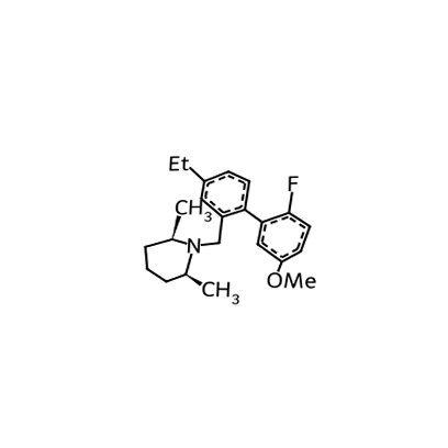 CCc1ccc(-c2cc(OC)ccc2F)c(CN2[C@H](C)CCC[C@@H]2C)c1